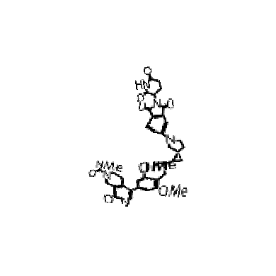 CNC(=O)N1CCc2c(-c3cc(OC)c(CNC4CC45CCN(c4ccc6c(c4)C(=O)N(C4CCC(=O)NC4=O)C6=O)C5)c(OC)c3)cn(C)c(=O)c2C1